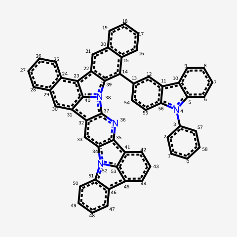 c1ccc(-n2c3ccccc3c3cc(-c4c5ccccc5cc5c6c7ccccc7cc7c8cc9c(nc8n(c45)c76)c4cccc5c6ccccc6n9c54)ccc32)cc1